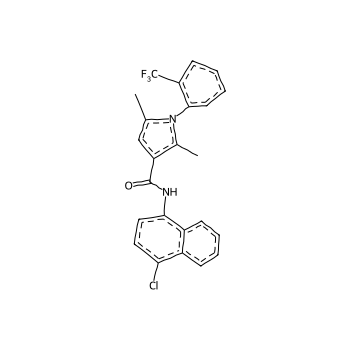 Cc1cc(C(=O)Nc2ccc(Cl)c3ccccc23)c(C)n1-c1ccccc1C(F)(F)F